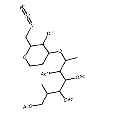 CC(=O)OCC(C)C(OC(C)=O)C(OC(C)=O)C(OC(C)=O)C(C)OC1CCOC(CN=[N+]=[N-])C1O